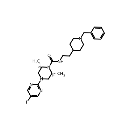 C[C@@H]1CN(c2ncc(F)cn2)C[C@H](C)N1C(=O)NCCC1CCN(Cc2ccccc2)CC1